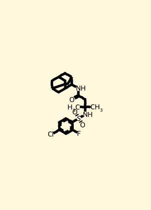 CC(C)(CC(=O)NC1C2CC3CC(C2)CC1C3)NS(=O)(=O)c1ccc(Cl)cc1F